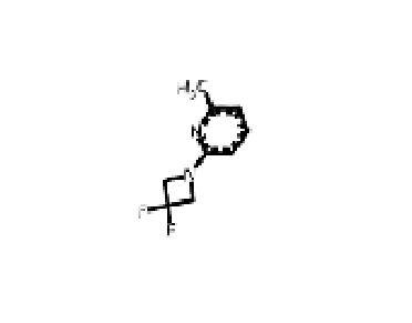 Cc1cccc(N2CC(F)(F)C2)n1